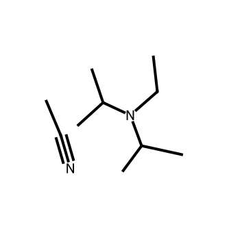 CC#N.CCN(C(C)C)C(C)C